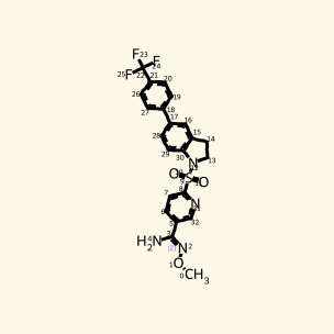 CO/N=C(\N)c1ccc(S(=O)(=O)N2CCc3cc(-c4ccc(C(F)(F)F)cc4)ccc32)nc1